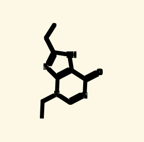 CCc1nc2c([nH]1)c(=O)ncn2CC